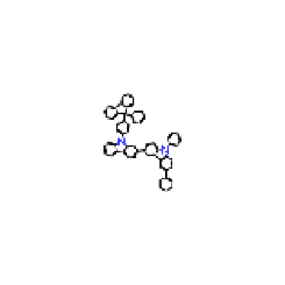 C1=CC(c2ccc3c(c2)c2cc(-c4ccc5c6ccccc6n(-c6ccc(C7(c8ccccc8)c8ccccc8-c8ccccc87)cc6)c5c4)ccc2n3-c2ccccc2)=CCC1